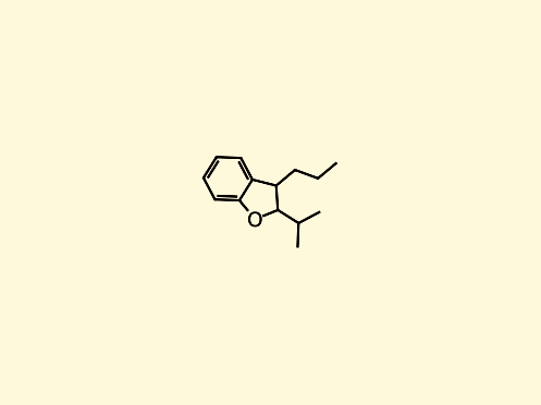 CCCC1c2ccccc2OC1C(C)C